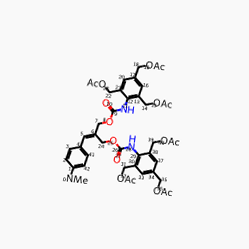 CNc1ccc(C=C(COC(=O)Nc2c(COC(C)=O)cc(COC(C)=O)cc2COC(C)=O)COC(=O)Nc2c(COC(C)=O)cc(COC(C)=O)cc2COC(C)=O)cc1